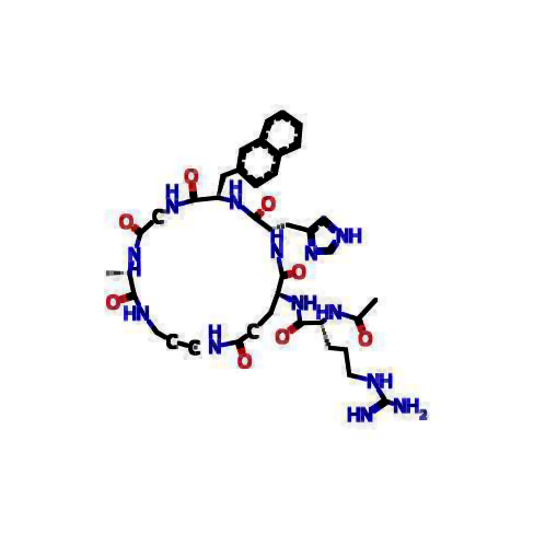 CC(=O)N[C@H](CCCNC(=N)N)C(=O)N[C@H]1CCC(=O)NCCCNC(=O)[C@H](C)NC(=O)CNC(=O)[C@@H](Cc2ccc3ccccc3c2)NC(=O)[C@H](Cc2c[nH]cn2)NC1=O